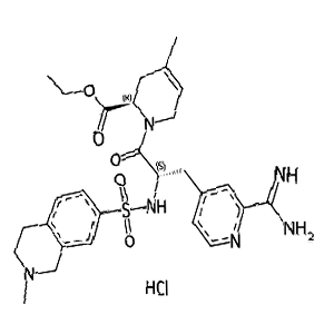 CCOC(=O)[C@H]1CC(C)=CCN1C(=O)[C@H](Cc1ccnc(C(=N)N)c1)NS(=O)(=O)c1ccc2c(c1)CN(C)CC2.Cl